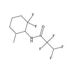 CC1CCCC(F)(F)C1NC(=O)C(F)(F)C(F)F